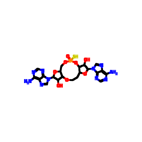 Nc1ncnc2c1ncn2C1OC2COP(=O)(S)OC3C(CCOC2C1O)OC(n1cnc2c(N)ncnc21)C3O